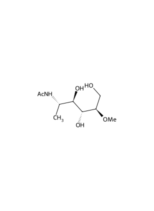 CO[C@H](CO)[C@H](O)[C@H](O)[C@H](C)NC(C)=O